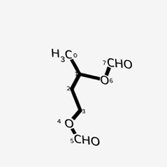 CC(CCOC=O)OC=O